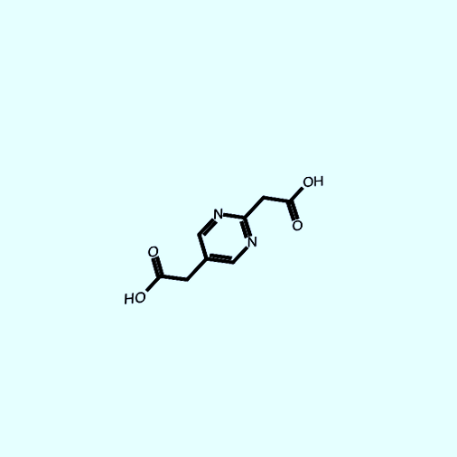 O=C(O)Cc1cnc(CC(=O)O)nc1